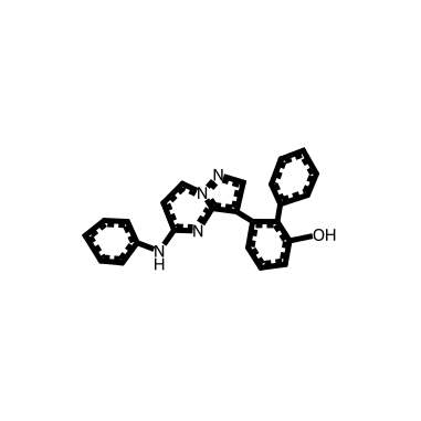 Oc1cccc(-c2cnn3ccc(Nc4ccccc4)nc23)c1-c1ccccc1